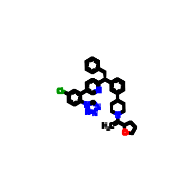 C=C(C1CCCO1)N1CCC(c2cccc([C@H](Cc3ccccc3)c3ccc(-c4cc(Cl)ccc4-n4cnnn4)cn3)c2)CC1